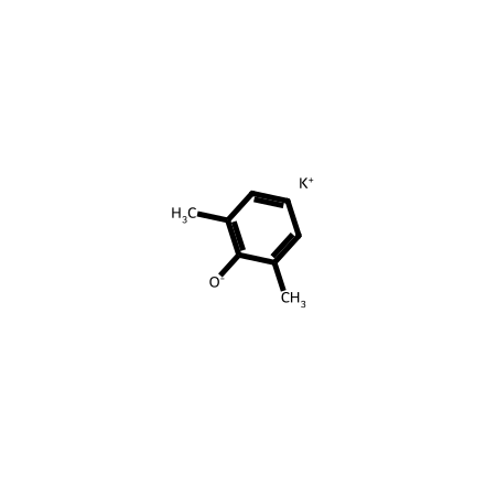 Cc1cccc(C)c1[O-].[K+]